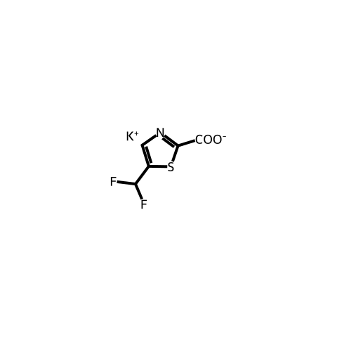 O=C([O-])c1ncc(C(F)F)s1.[K+]